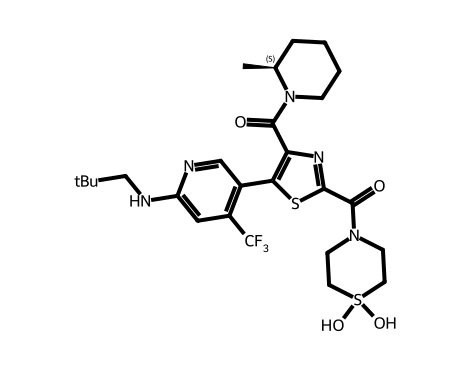 C[C@H]1CCCCN1C(=O)c1nc(C(=O)N2CCS(O)(O)CC2)sc1-c1cnc(NCC(C)(C)C)cc1C(F)(F)F